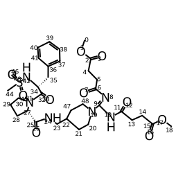 COC(=O)CCC(=O)/N=C(/NC(=O)CCC(=O)OC)N1CCC(CNC(=O)[C@@H]2CCCN2C(=O)[C@@H](Cc2ccccc2)NS(C)(=O)=O)CC1